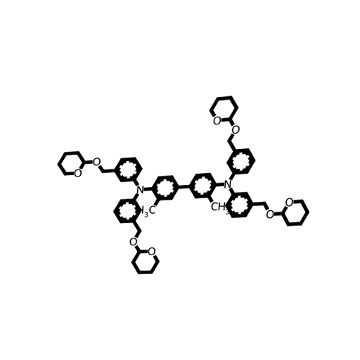 Cc1cc(-c2ccc(N(c3cccc(COC4CCCCO4)c3)c3cccc(COC4CCCCO4)c3)c(C)c2)ccc1N(c1cccc(COC2CCCCO2)c1)c1cccc(COC2CCCCO2)c1